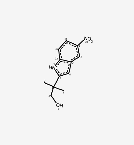 CC(C)(CO)c1cc2cc([N+](=O)[O-])ccc2[nH]1